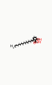 CCCCCCCCCCCCCC=Cc1cccc(O)c1C(=O)O